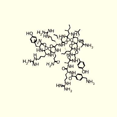 CCC[C@H](NC(=O)[C@@H](NC(=O)[C@H](CC(C)C)NC(=O)[C@H](CC(N)=O)NC(=O)[C@@H](NC(=O)[C@H](Cc1ccc(O)cc1)NC(=O)[C@H](C)NC(=O)[C@H](CCCNC(=N)N)NC(=O)c1ccc(CN)cc1)[C@@H](C)CC)[C@@H](C)CC)C(=O)N[C@@H](CCCNC(=N)N)C(=O)N[C@@H](CCC(N)=O)C(=O)N[C@@H](CCCNC(=N)N)C(=O)N[C@@H](Cc1ccc(O)cc1)C(N)=O